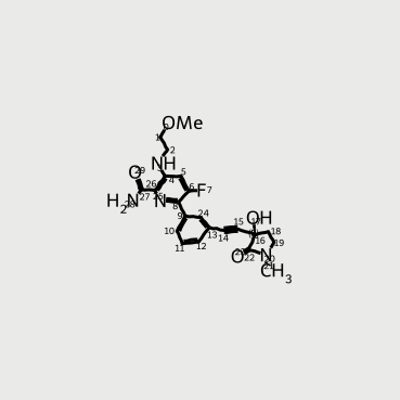 COCCNc1cc(F)c(-c2cccc(C#C[C@]3(O)CCN(C)C3=O)c2)nc1C(N)=O